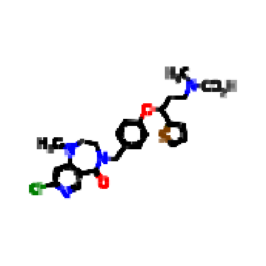 CN(CCC(Oc1ccc(CN2CCN(C)c3cc(Cl)ncc3C2=O)cc1)c1cccs1)C(=O)O